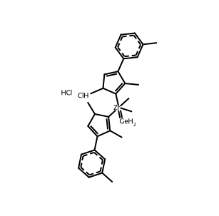 CC1=[C]([Zr]([CH3])([CH3])(=[GeH2])[C]2=C(C)C(c3cccc(C)c3)=CC2C)C(C)C=C1c1cccc(C)c1.Cl.Cl